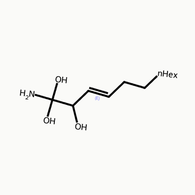 CCCCCCCC/C=C/C(O)C(N)(O)O